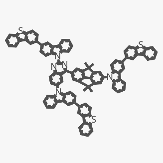 CC1(C)c2cc(-c3nc(-n4c5ccccc5c5cc(-c6ccc7sc8ccccc8c7c6)ccc54)nc4ccc(-n5c6ccccc6c6cc(-c7ccc8sc9ccccc9c8c7)ccc65)cc34)cc3c2-c2c1cc(-n1c4ccccc4c4cc(-c5ccc6sc7ccccc7c6c5)ccc41)cc2C3(C)C